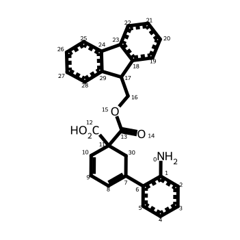 Nc1ccccc1C1=CC=CC(C(=O)O)(C(=O)OCC2c3ccccc3-c3ccccc32)C1